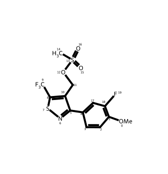 COc1ccc(-c2nsc(C(F)(F)F)c2COS(C)(=O)=O)cc1F